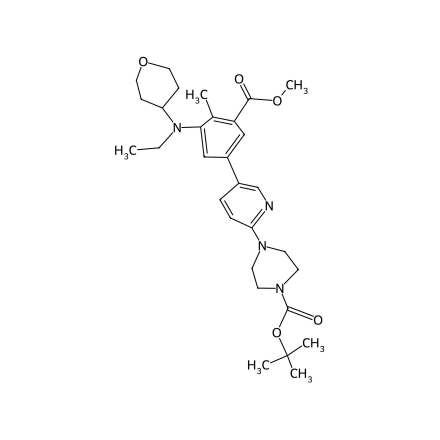 CCN(c1cc(-c2ccc(N3CCN(C(=O)OC(C)(C)C)CC3)nc2)cc(C(=O)OC)c1C)C1CCOCC1